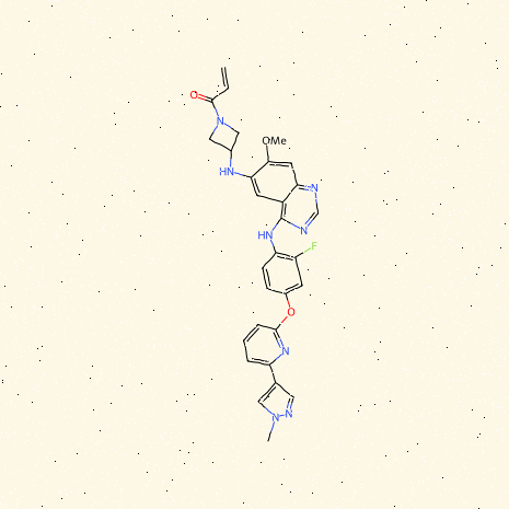 C=CC(=O)N1CC(Nc2cc3c(Nc4ccc(Oc5cccc(-c6cnn(C)c6)n5)cc4F)ncnc3cc2OC)C1